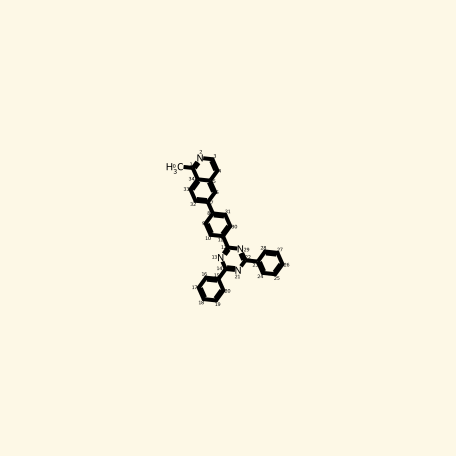 Cc1nccc2cc(-c3ccc(-c4nc(-c5ccccc5)nc(-c5ccccc5)n4)cc3)ccc12